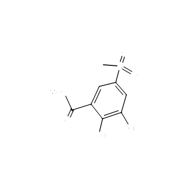 COC(=O)c1cc(S(=O)(=O)Cl)cc(C)c1C